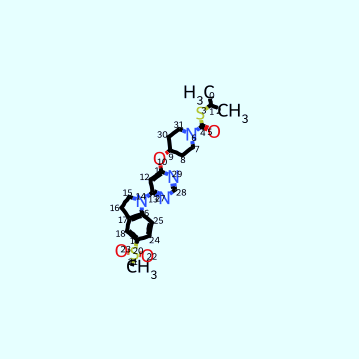 CC(C)SC(=O)N1CCC(Oc2cc(N3CCc4cc(S(C)(=O)=O)ccc43)ncn2)CC1